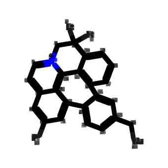 CCC1(CC)C[n+]2ccc3cc(C(C)C)cc4c3c2-c2c(cccc21)-c1cc(CC(C)(C)C)ccc1-4